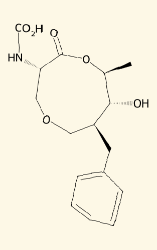 C[C@@H]1OC(=O)[C@@H](NC(=O)O)COC[C@H](Cc2ccccc2)[C@H]1O